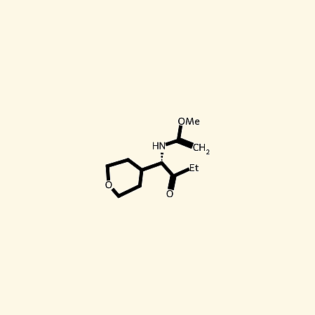 C=C(N[C@H](C(=O)CC)C1CCOCC1)OC